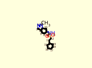 Cn1ncc2ccc(NS(=O)(=O)CCc3ccccc3)cc21